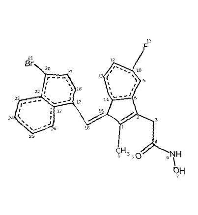 CC1=C(CC(=O)NO)c2cc(F)ccc2/C1=C\c1ccc(Br)c2ccccc12